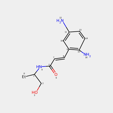 CCC(CO)NC(=O)C=Cc1cc(N)ccc1N